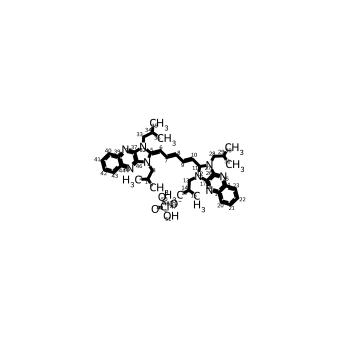 CC(C)CN1C(=CC=CC=CC2N(CC(C)C)c3nc4ccccc4nc3N2CC(C)C)N(CC(C)C)c2nc3ccccc3nc21.[O-][Cl+3]([O-])([O-])O